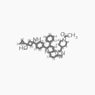 CC(=O)N1CCC(c2nnc3ccc4nc(-c5ccc(C6(N)CC(O)(C7CC7)C6)cc5)c(-c5ccccc5)cc4n23)CC1